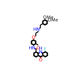 COc1ccc(CCNCCCOc2ccc(NC(=O)c3cccc4c(=O)c5cccc(F)c5[nH]c34)c(C)c2)cc1OC